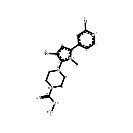 Cn1c(-c2ccnc(Cl)c2)cc(C#N)c1N1CCN(C(=O)OC(C)(C)C)CC1